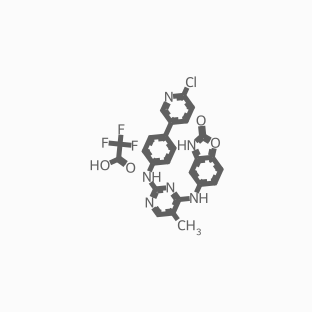 Cc1cnc(Nc2ccc(-c3ccc(Cl)nc3)cc2)nc1Nc1ccc2oc(=O)[nH]c2c1.O=C(O)C(F)(F)F